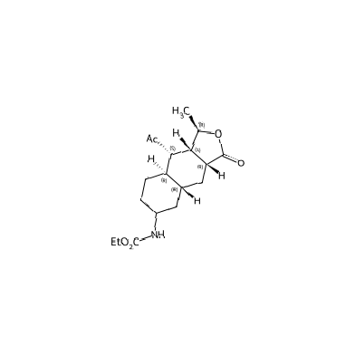 CCOC(=O)NC1CC[C@@H]2[C@@H](C1)C[C@H]1C(=O)O[C@H](C)[C@H]1[C@H]2C(C)=O